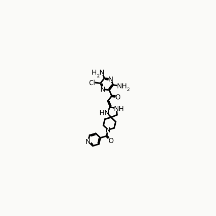 Nc1nc(N)c(C(=O)/C=C2\NCC3(CCN(C(=O)c4ccncc4)CC3)N2)nc1Cl